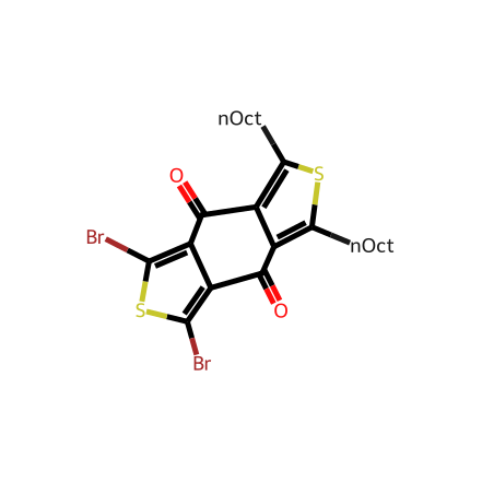 CCCCCCCCc1sc(CCCCCCCC)c2c1C(=O)c1c(Br)sc(Br)c1C2=O